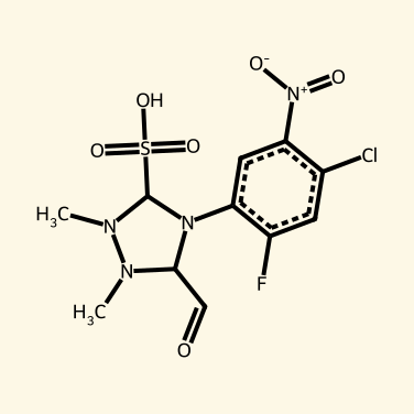 CN1C(C=O)N(c2cc([N+](=O)[O-])c(Cl)cc2F)C(S(=O)(=O)O)N1C